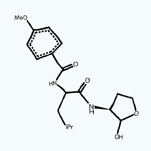 COc1ccc(C(=O)NC(CC(C)C)C(=O)N[C@H]2CCOC2O)cc1